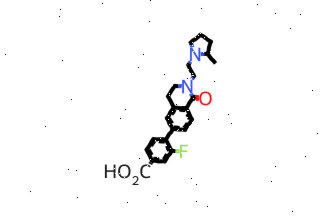 CC1CCCN1CCN1CCc2cc(-c3ccc(C(=O)O)cc3F)ccc2C1=O